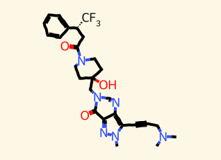 CN(C)CC#Cc1c2ncn(CC3(O)CCN(C(=O)C[C@H](c4ccccc4)C(F)(F)F)CC3)c(=O)c2nn1C